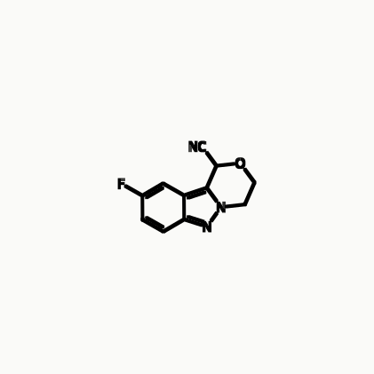 N#CC1OCCn2nc3ccc(F)cc3c21